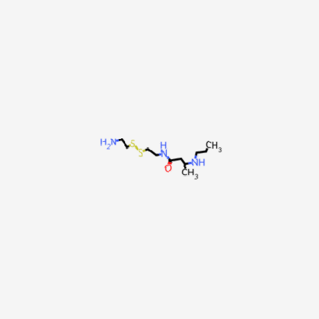 CCCNC(C)CC(=O)NCCSSCCN